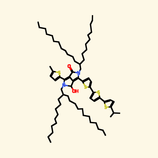 CCCCCCCCCCCCC(CCCCCCCCCC)CN1C(=O)C2=C(c3ccc(C)s3)N(CC(CCCCCCCCCC)CCCCCCCCCCCC)C(O)C2=C1c1ccc(-c2ccc(-c3ccc(C(C)C)s3)s2)s1